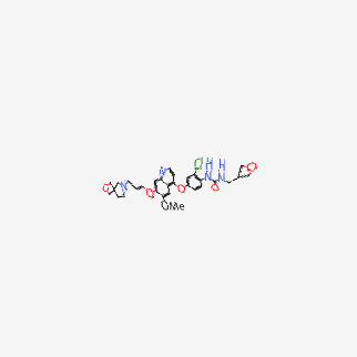 COc1cc2c(Oc3ccc(NC(=O)NCC4COC4)c(Cl)c3)ccnc2cc1OCCCN1CCC2(COC2)C1